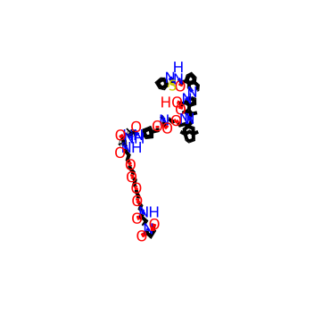 Cc1c(-c2ccc(N3CCc4cccc(C(=O)Nc5nc6ccccc6s5)c4C3)nc2C(=O)O)cnn1CC1(CCOCCN(C)C(=O)OCc2ccc(NC(=O)[C@H](C)NC(=O)[C@H](C)NC(=O)CCOCCOCCOCCOCCNC(=O)CCN3C(=O)C=CC3=O)cc2)CC2(C)CCCC(C)(C2)C1